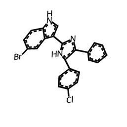 Clc1ccc(-c2[nH]c(-c3c[nH]c4ccc(Br)cc34)nc2-c2ccccc2)cc1